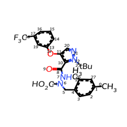 Cc1ccc(CN(NC(=O)c2c(Oc3cccc(C(F)(F)F)c3)cnn2C(C)(C)C)C(=O)O)c(C)c1